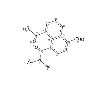 CC(=O)N(C(C)=O)C(=O)c1ccc(C=O)c2cccc(C(N)=O)c12